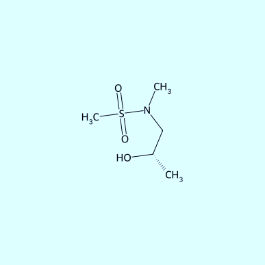 C[C@H](O)CN(C)S(C)(=O)=O